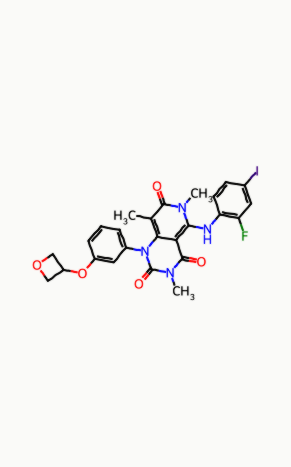 Cc1c(=O)n(C)c(Nc2ccc(I)cc2F)c2c(=O)n(C)c(=O)n(-c3cccc(OC4COC4)c3)c12